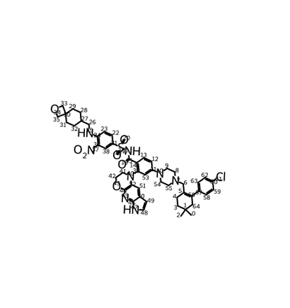 CC1(C)CCC(CN2CCN(c3ccc(C(=O)NS(=O)(=O)c4ccc(NCC5CCC6(CC5)COC6)c([N+](=O)[O-])c4)c(N4CCOc5nc6[nH]ccc6cc54)c3)CC2)=C(c2ccc(Cl)cc2)C1